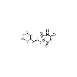 O=C1CC(=O)N(CC=CC2=CCCCC2)C(=S)N1